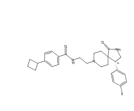 O=C(NCCN1CCC2(CC1)C(=O)NC[C@@H]2c1ccc(F)cc1)c1ccc(C2CCC2)cc1